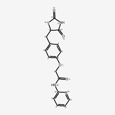 O=C(COc1ccc(CC2SC(=O)NC2=O)cc1)Nc1ccccn1